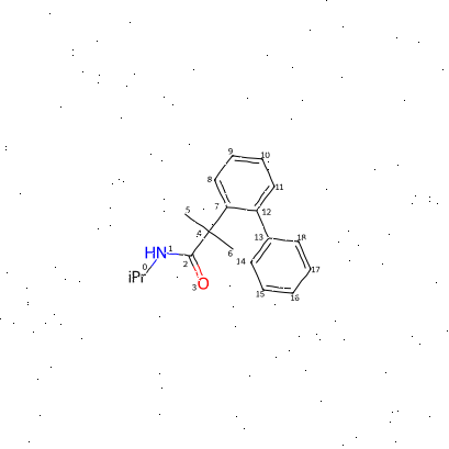 CC(C)NC(=O)C(C)(C)c1ccccc1-c1ccccc1